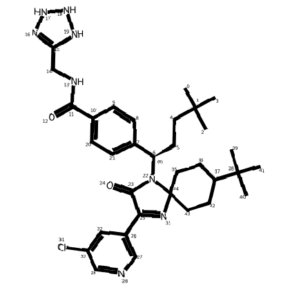 CC(C)(C)CC[C@H](c1ccc(C(=O)NCC2=NNNN2)cc1)N1C(=O)C(c2cncc(Cl)c2)=NC12CCC(C(C)(C)C)CC2